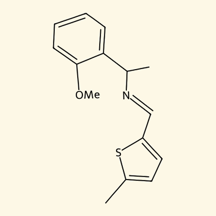 COc1ccccc1C(C)/N=C/c1ccc(C)s1